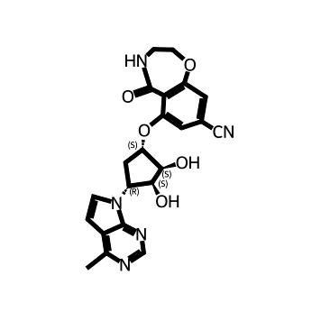 Cc1ncnc2c1ccn2[C@@H]1C[C@H](Oc2cc(C#N)cc3c2C(=O)NCCO3)[C@@H](O)[C@H]1O